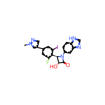 Cn1cc(-c2cc(F)c([C@@H]3[C@H](O)C(=O)N3c3ccc4[nH]cnc4c3)c(I)c2)cn1